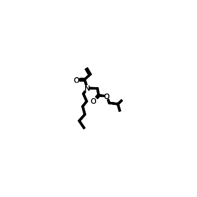 C=CC(=O)N(CCCCCC)CC(=O)OCC(C)C